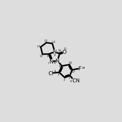 N#Cc1cc(Cl)c(-n2nc3n(c2=O)CCCC3)cc1F